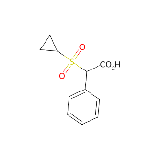 O=C(O)C(c1ccccc1)S(=O)(=O)C1CC1